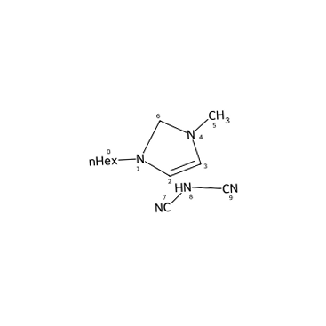 CCCCCCN1C=CN(C)C1.N#CNC#N